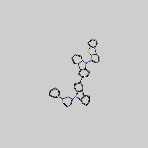 C1=CC(c2ccccc2)CC(n2c3ccccc3c3cc(-c4ccc5c(c4)C4C=CC=CC4N5C4=CC=CC5c6ccccc6SC45)ccc32)=C1